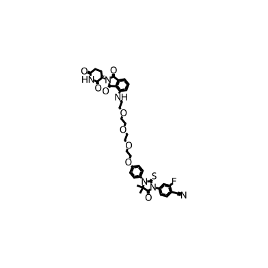 CC1(C)C(=O)N(c2ccc(C#N)c(F)c2)C(=S)N1c1ccc(OCCOCCOCCOCCNc2cccc3c2C(=O)N([C@@H]2CCC(=O)NC2=O)C3=O)cc1